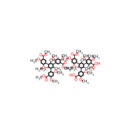 COC(=O)c1cc(-c2c(C)c(-c3cc(C(=O)O)c(OC)cc3OC)c(C)c(-c3c(C)c(C(=O)O)c(OC)c(C)c3OC)c2C)c(OC)cc1OC.COC(=O)c1cc(-c2c(C)c(-c3cc(C(=O)OC)c(OC)cc3OC)c(C)c(-c3cc(C(=O)OC)c(OC)cc3OC)c2C)c(OC)cc1OC